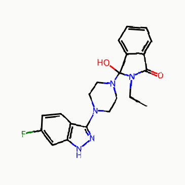 CCN1C(=O)c2ccccc2C1(O)N1CCN(c2n[nH]c3cc(F)ccc23)CC1